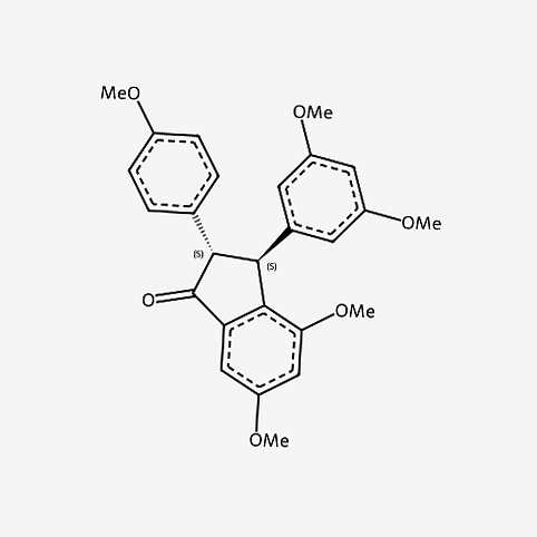 COc1ccc([C@H]2C(=O)c3cc(OC)cc(OC)c3[C@@H]2c2cc(OC)cc(OC)c2)cc1